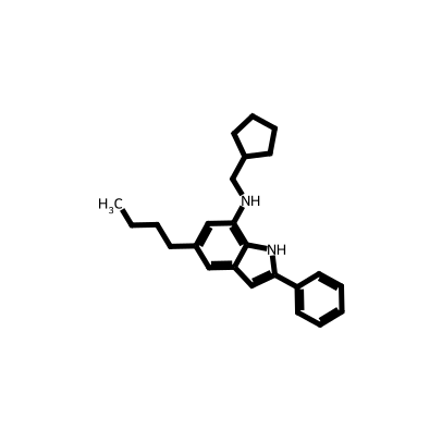 CCCCc1cc(NCC2CCCC2)c2[nH]c(-c3ccccc3)cc2c1